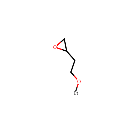 [CH2]COCCC1CO1